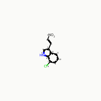 O=[N+]([O-])/C=C/c1c[nH]c2c(Cl)cccc12